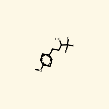 COc1ccc(CCC(O)C(F)(F)F)cc1